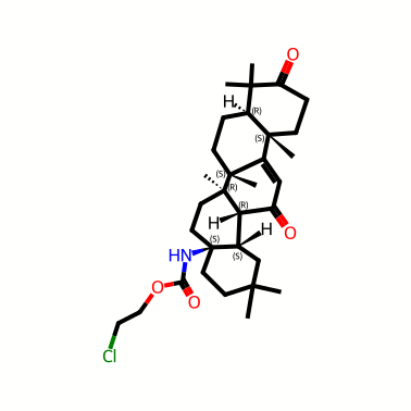 CC1(C)CC[C@]2(NC(=O)OCCCl)CC[C@]3(C)[C@H](C(=O)C=C4[C@@]5(C)CCC(=O)C(C)(C)[C@@H]5CC[C@]43C)[C@@H]2C1